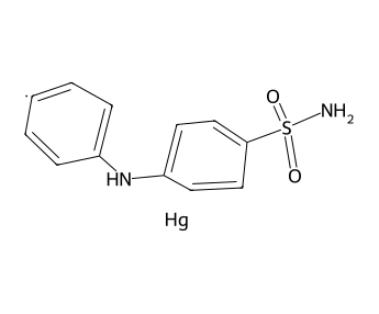 NS(=O)(=O)c1ccc(Nc2cc[c]cc2)cc1.[Hg]